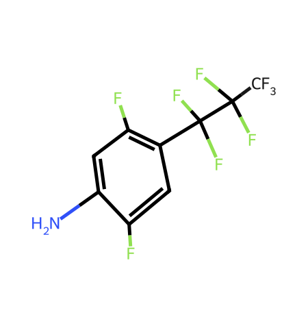 Nc1cc(F)c(C(F)(F)C(F)(F)C(F)(F)F)cc1F